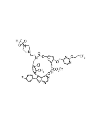 CCOC(=O)[C@H]1Cc2cc(ccc2OCc2ccnc(OCCC(F)(F)F)n2)CC(=O)N(CCN2CCN(S(C)(=O)=O)CC2)Cc2ccc(c(C)c2Cl)-c2c(-c3ccc(F)cc3)sc3ncnc(c23)O1